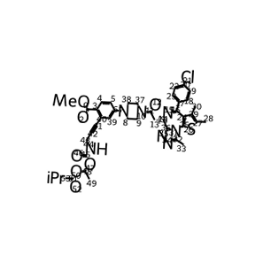 COC(=O)c1ccc(N2CCN(C(=O)C[C@@H]3N=C(c4ccc(Cl)cc4)c4c(sc(C)c4C)-n4c(C)nnc43)CC2)cc1C#CCNC(=O)OC(C)OC(=O)C(C)C